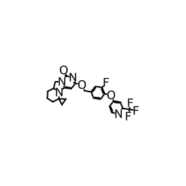 O=c1nc(OCc2ccc(Oc3ccnc(C(F)(F)F)c3)c(F)c2)cc2n1CC1CCCC3(CC3)N21